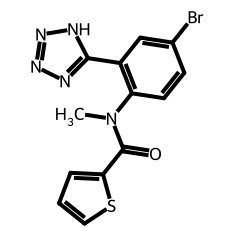 CN(C(=O)c1cccs1)c1ccc(Br)cc1-c1nnn[nH]1